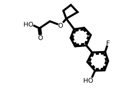 O=C(O)COC1(c2ccc(-c3cc(O)ccc3F)cc2)CCC1